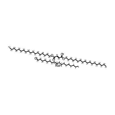 CCCCCCCCCCCCCCCCCC=O.CCCCCCCCCCCCCCCCCCOC(=O)/C=C/C(=O)OCCCCCCCCCCCCCCCCCC.[NaH]